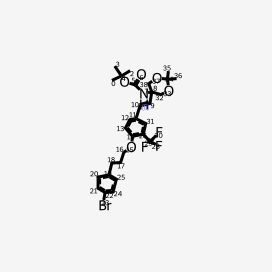 CC(C)(C)OC(=O)NC1(/C=C/c2ccc(OCCCc3ccc(Br)cc3)c(C(F)(F)F)c2)COC(C)(C)OC1